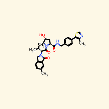 Cc1ccc2c(c1)C(=O)N([C@H](C(=O)N1C[C@H](O)C[C@H]1C(=O)NCc1ccc(-c3scnc3C)cc1)C(C)C)C2